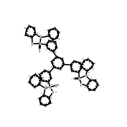 S=P1(c2cccc(-c3cc(-c4cccc(P5(=S)Oc6ccccc6N5c5ccccc5)c4)cc(-c4cccc([PH]5(S)Oc6ccccc6N5c5ccccc5)c4)c3)c2)Oc2ccccc2N1c1ccccc1